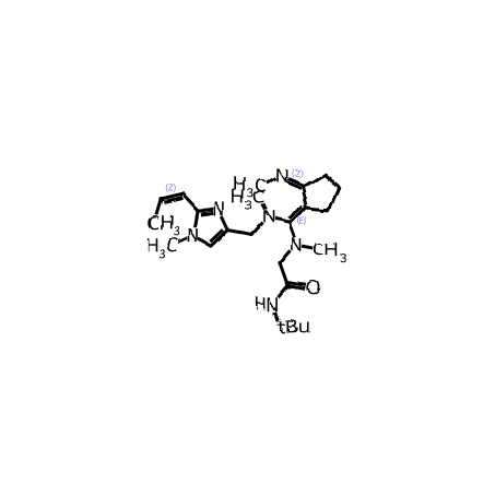 C/C=C\c1nc(CN(C)/C(=C2/CCC/C2=N/C)N(C)CC(=O)NC(C)(C)C)cn1C